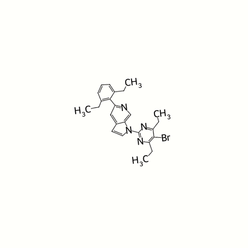 CCc1cccc(CC)c1-c1cc2ccn(-c3nc(CC)c(Br)c(CC)n3)c2cn1